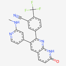 CNc1cc(-c2cc3ccc(=O)[nH]c3nc2-c2ccc(C(F)(F)F)c(C#N)c2)ccn1